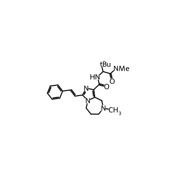 CNC(=O)C(NC(=O)c1nc(C=Cc2ccccc2)n2c1CN(C)CCC2)C(C)(C)C